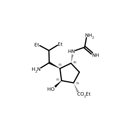 CCOC(=O)[C@H]1C[C@@H](NC(=N)N)[C@H](C(N)C(CC)CC)[C@@H]1O